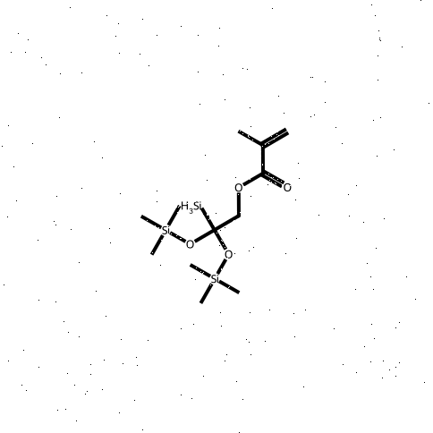 C=C(C)C(=O)OCC([SiH3])(O[Si](C)(C)C)O[Si](C)(C)C